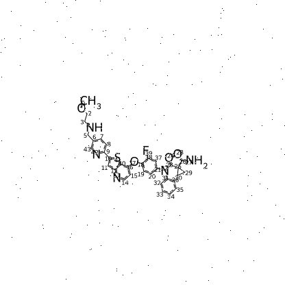 COCCNCc1ccc(-c2cc3nccc(Oc4ccc(N(C(=O)C5(C(N)=O)CC5)c5ccccc5)cc4F)c3s2)nc1